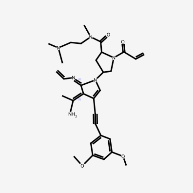 C=C/N=C1\C(=C(/C)N)C(C#Cc2cc(OC)cc(OC)c2)=CN1C1CC(C(=O)N(C)CCN(C)C)N(C(=O)C=C)C1